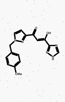 COc1ccc(Cn2ccc(C(=O)C=C(O)c3nc[nH]n3)n2)cc1